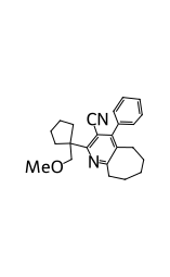 COCC1(c2nc3c(c(-c4ccccc4)c2C#N)CCCCC3)CCCC1